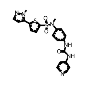 CN(c1ccc(NC(=O)Nc2ccncc2)cc1)S(=O)(=O)c1ccc(-c2ccnn2C)s1